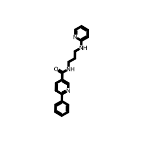 O=C(NCCCNc1ccccn1)c1ccc(-c2ccccc2)nc1